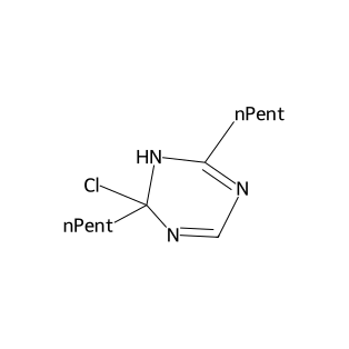 CCCCCC1=NC=NC(Cl)(CCCCC)N1